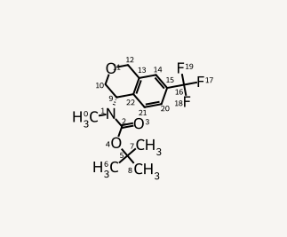 CN(C(=O)OC(C)(C)C)[C@@H]1COCc2cc(C(F)(F)F)ccc21